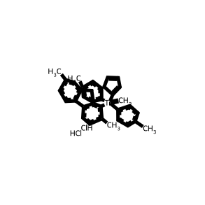 Cl.Cl.[CH2]=[Ti]([C]1=CC=CC1)([c]1ccc(C)cc1)([c]1ccc(C)cc1)[c]1c(C)ccc2c1Cc1cc(C)ccc1-2